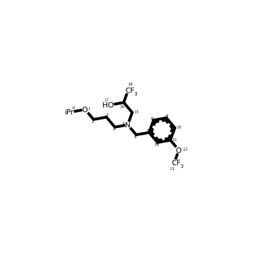 CC(C)OCCCN(Cc1cccc(OC(F)(F)F)c1)CC(O)C(F)(F)F